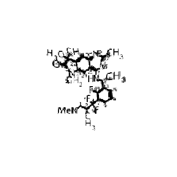 CNC[C@H](C)C(F)(F)c1cccc([C@@H](C)Nc2nc(C)nc3cc4c(cc23)N(C)C(=O)C4(C)C)c1F